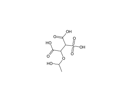 CC(O)OC(C(=O)O)C(C(=O)O)S(=O)(=O)O